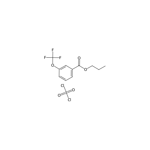 CCCOC(=O)c1cccc(OC(F)(F)F)c1.O=S(=O)(Cl)Cl